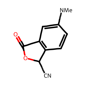 CNc1ccc2c(c1)C(=O)OC2C#N